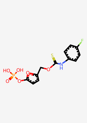 O=P(O)(O)Oc1ccc(COC(=S)Nc2ccc(F)cc2)o1